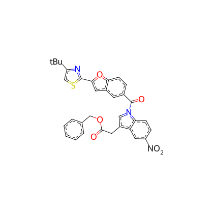 CC(C)(C)c1csc(-c2cc3cc(C(=O)n4cc(CC(=O)OCc5ccccc5)c5cc([N+](=O)[O-])ccc54)ccc3o2)n1